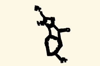 CC(C)c1ccc2c(c1)C(=O)c1nc(C(C)C)[nH]c1-2